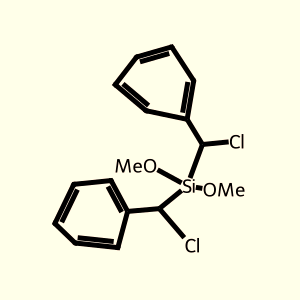 CO[Si](OC)(C(Cl)c1ccccc1)C(Cl)c1ccccc1